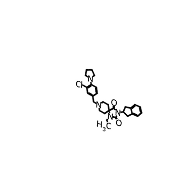 CCN1C(=O)N(C2Cc3ccccc3C2)C(=O)C12CCN(Cc1ccc(N3CCCC3)c(Cl)c1)CC2